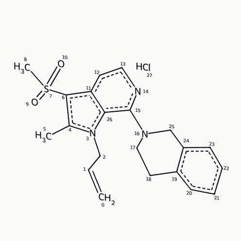 C=CCn1c(C)c(S(C)(=O)=O)c2ccnc(N3CCc4ccccc4C3)c21.Cl